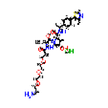 Cc1ncsc1-c1ccc(C(C)NC(=O)[C@@H]2C[C@@H](O)CN2C(=O)C(NC(=O)CCOCCOCCOCCN)C(C)(C)C)cc1.Cl